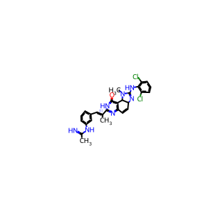 CC(=N)Nc1cccc(/C=C(\C)c2nc3c(c(=O)[nH]2)C2C(C=C3)N=C(Nc3c(Cl)cccc3Cl)N2C)c1